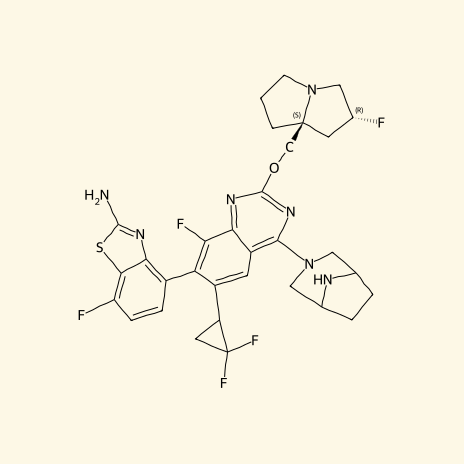 Nc1nc2c(-c3c(C4CC4(F)F)cc4c(N5CC6CCC(C5)N6)nc(OC[C@@]56CCCN5C[C@H](F)C6)nc4c3F)ccc(F)c2s1